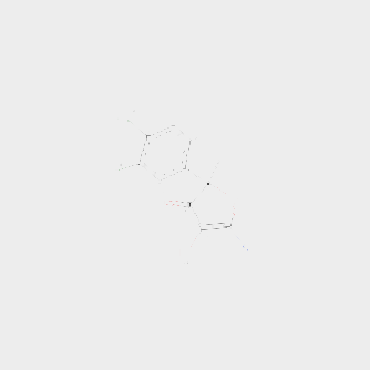 CC1(c2ccc(Cl)c(Cl)c2)OC(N)=C(O)C1=O